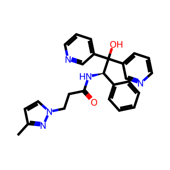 Cc1ccn(CCC(=O)N[C@H](c2ccccc2)C(O)(c2cccnc2)c2cccnc2)n1